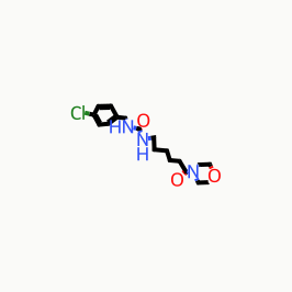 O=C(NCCCCCC(=O)N1CCOCC1)NCc1ccc(Cl)cc1